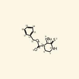 CCCCC1C(=S)NCCN1C(=O)OCc1ccccc1